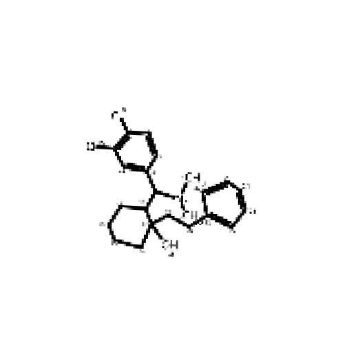 CN(C)C(c1ccc(Cl)c(Cl)c1)C1CCCCC1(O)CCc1ccccc1